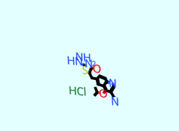 CC(C)Oc1c(C#N)cnc2ccc(CC3SC(NN)=NC3=O)cc12.Cl